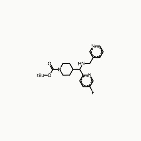 CC(C)(C)OC(=O)N1CCC(C(NCc2cccnc2)c2ccc(F)cn2)CC1